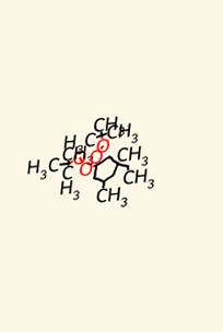 CCC1(C)CC(C)CC(OOC(C)(C)C)(OOC(C)(C)C)C1